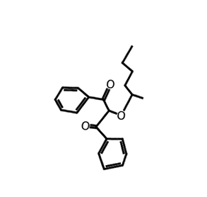 CCCCC(C)OC(C(=O)c1ccccc1)C(=O)c1ccccc1